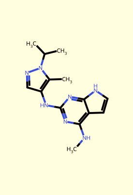 CNc1nc(Nc2cnn(C(C)C)c2C)nc2[nH]ccc12